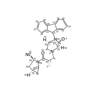 C[C@@H](CN1C[C@@H]2C[C@H]1C(=O)N2C1c2ccccc2-c2ccccc21)C(=O)N1C2C[C@H]2C[C@H]1C#N